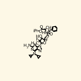 CC(C)OC(=O)[C@H](C)N[P@](=O)(OC[C@@]1(F)O[C@@H](n2cnc3c(N(C4CC4)C4CC4)nc(N)nc32)[C@](C)(F)[C@@H]1O)Oc1ccccc1